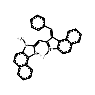 CN1/C(=C/C2=[N+](C)c3ccc4ccccc4c3/C2=C/c2ccccc2)Nc2c1ccc1ccccc21